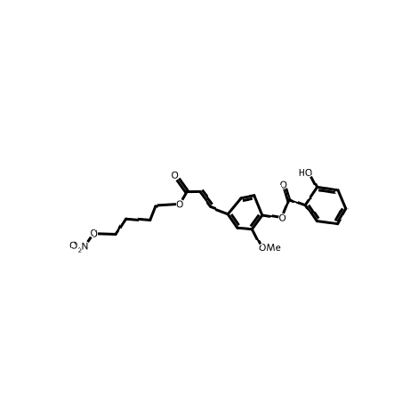 COc1cc(C=CC(=O)OCCCCO[N+](=O)[O-])ccc1OC(=O)c1ccccc1O